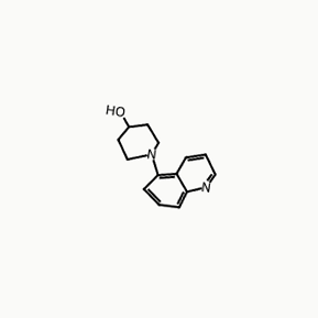 OC1CCN(c2cccc3ncccc23)CC1